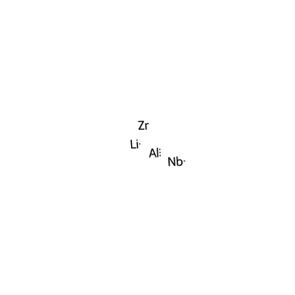 [Al].[Li].[Nb].[Zr]